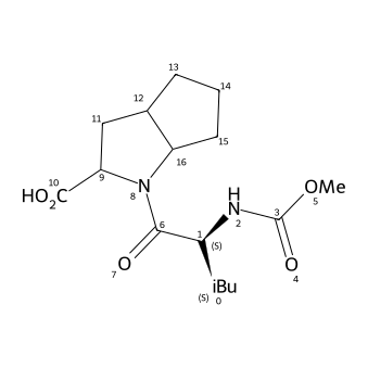 CC[C@H](C)[C@H](NC(=O)OC)C(=O)N1C(C(=O)O)CC2CCCC21